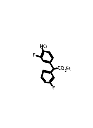 CCOC(=O)C(c1cccc(F)c1)c1ccc(N=O)c(F)c1